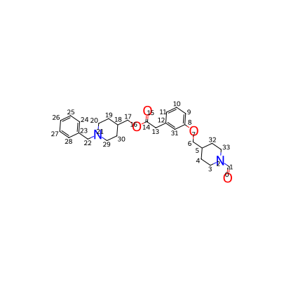 O=CN1CCC(COc2cccc(CC(=O)OCC3CCN(Cc4ccccc4)CC3)c2)CC1